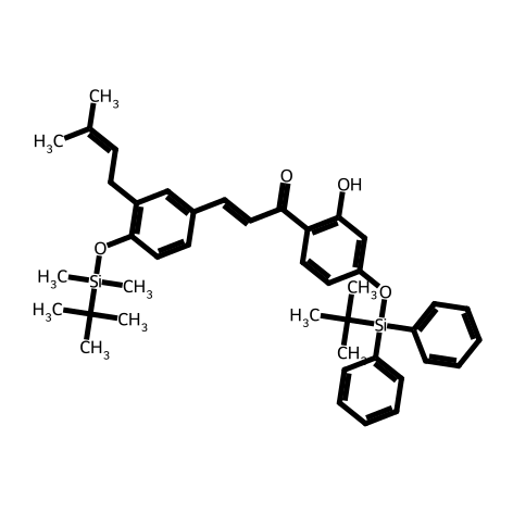 CC(C)=CCc1cc(/C=C/C(=O)c2ccc(O[Si](c3ccccc3)(c3ccccc3)C(C)(C)C)cc2O)ccc1O[Si](C)(C)C(C)(C)C